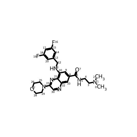 CN(C)CCNC(=O)c1cc(NCc2cc(F)cc(F)c2)c2nc(N3CCOCC3)cnc2c1